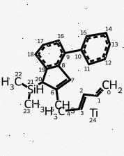 C=CC=CC.CC1=Cc2c(-c3ccccc3)cccc2C1[SiH](C)C.[Ti]